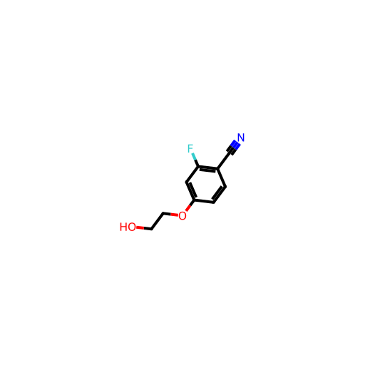 N#Cc1ccc(OCCO)cc1F